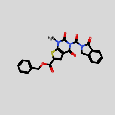 Cn1c(=O)n(C(=O)N2Cc3ccccc3C2=O)c(=O)c2cc(C(=O)OCc3ccccc3)sc21